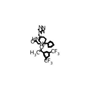 C[C@@H](OC[C@@]1(c2ccccc2)CC[C@]2(Cn3cnnn3)CN1CC(=O)N2)c1cc(C(F)(F)F)cc(C(F)(F)F)c1